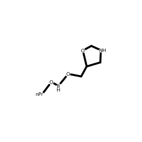 CCCOBOCC1CNCO1